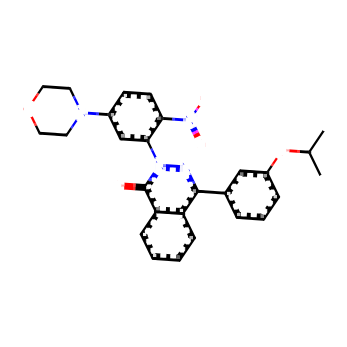 CC(C)Oc1cccc(-c2nn(-c3cc(N4CCOCC4)ccc3[N+](=O)[O-])c(=O)c3ccccc23)c1